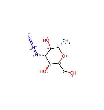 C[C@@H]1OC(CO)[C@@H](O)[C@H](N=[N+]=[N-])C1O